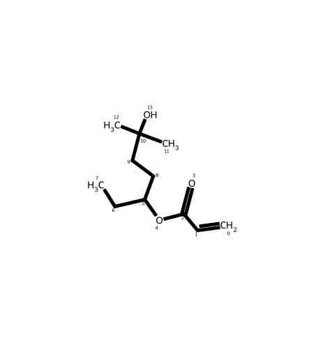 C=CC(=O)OC(CC)CCC(C)(C)O